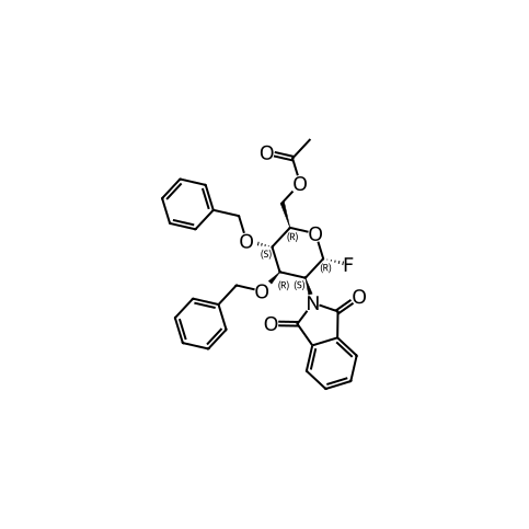 CC(=O)OC[C@H]1O[C@H](F)[C@@H](N2C(=O)c3ccccc3C2=O)[C@@H](OCc2ccccc2)[C@@H]1OCc1ccccc1